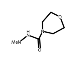 CNNC(=O)N1CCOCC1